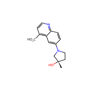 C[C@]1(O)CCN(c2ccc3nccc(C(=O)O)c3c2)C1